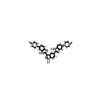 CN1CCN(c2ccc3[nH]c(-c4ccc5[nH]nc(-c6nc7ccc(N8CCN(C)CC8)cc7[nH]6)c5c4)nc3c2)CC1